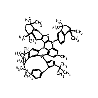 Cc1cc2c3c(c1)N(c1ccc4c(c1)C(C)(C)CCC4(C)C)c1oc4cc5c(cc4c1B3c1cc3c4cc1N2c1ccc(C(C)(C)C)cc1-c1ccc(cc1)[Si](C)(C)C(CC3(C)C)C4(C)C)C(C)(C)CCC5(C)C